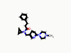 CN1CCN(c2ccc(CN(C(=O)CCc3ccccc3)C3CC3)cn2)CC1